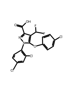 O=C(O)c1nn(-c2ccc(Cl)cc2Cl)c(Oc2ccc(Cl)cc2)c1C(F)F